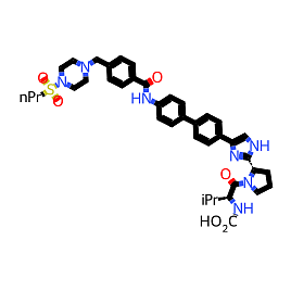 CCCS(=O)(=O)N1CCN(Cc2ccc(C(=O)Nc3ccc(-c4ccc(-c5c[nH]c([C@@H]6CCCN6C(=O)[C@@H](NC(=O)O)C(C)C)n5)cc4)cc3)cc2)CC1